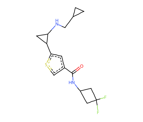 O=C(NC1CC(F)(F)C1)c1csc(C2CC2NCC2CC2)c1